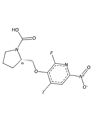 O=C(O)N1CCC[C@H]1COc1c(I)cc([N+](=O)[O-])nc1F